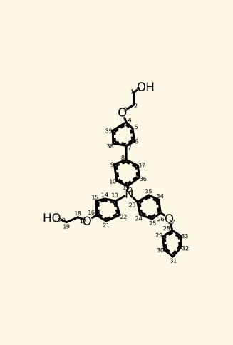 OCCOc1ccc(-c2ccc(N(c3ccc(OCCO)cc3)c3ccc(Oc4ccccc4)cc3)cc2)cc1